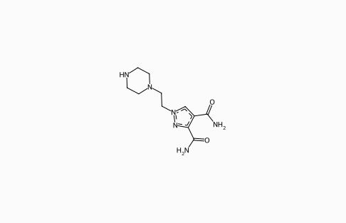 NC(=O)c1cn(CCN2CCNCC2)nc1C(N)=O